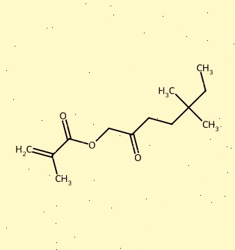 C=C(C)C(=O)OCC(=O)CCC(C)(C)CC